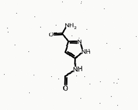 NC(=O)c1cc(NC=O)[nH]n1